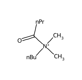 CCCC[N+](C)(C)C(=O)CCC